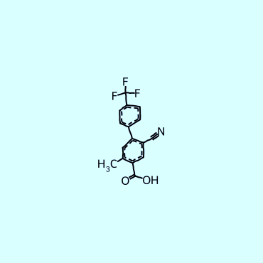 Cc1cc(-c2ccc(C(F)(F)F)cc2)c(C#N)cc1C(=O)O